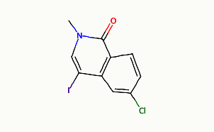 Cn1cc(I)c2cc(Cl)ccc2c1=O